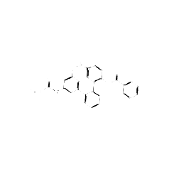 CCCC(=O)Nc1cc(C(=O)O)cc(-c2ccccc2-c2cc(Cl)ccc2OC(=O)c2ccccc2)c1